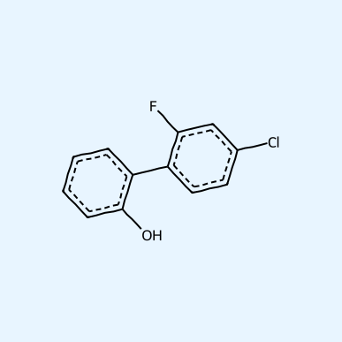 Oc1ccccc1-c1ccc(Cl)cc1F